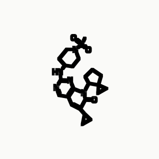 CS(=O)(=O)N1CCC(Nc2ncc3cc(C4CC4)c(=O)n(C4CCCC45CC5)c3n2)CC1